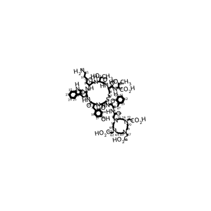 CC(O)C1NC(=O)C(CCCCN)NC(=O)[C@H](Cc2c[nH]c3ccccc23)NC(=O)C(Cc2ccc(O)cc2)NC(=O)[C@@H](NC(=O)[C@H](Cc2ccccc2)NC(=O)CN2CCN(CC(=O)O)CCN(CC(=O)O)CCN(CC(=O)O)CC2)SSCC(C(=O)NC(C(=O)O)[C@@H](C)O)NC1=O